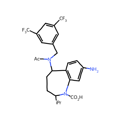 CC(=O)N(Cc1cc(C(F)(F)F)cc(C(F)(F)F)c1)C1CCC(C(C)C)N(C(=O)O)c2cc(N)ccc21